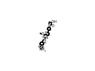 CCOc1nc(NCc2ccc(S(N)(=O)=O)cc2)nc2ccc(-c3ccc(N4CCC(O)C4=O)cc3)nc12